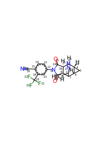 CC1N[C@@H]2[C@@H]3C[C@@H]3C1[C@H]1C(=O)N(c3ccc(C#N)c(C(F)(F)F)c3)C(=O)[C@@H]21